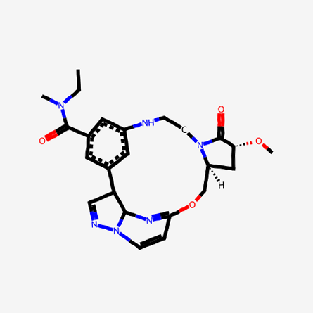 CCN(C)C(=O)c1cc2cc(c1)C1C=NN3C=CC(=NC13)OC[C@@H]1C[C@@H](OC)C(=O)N1CCN2